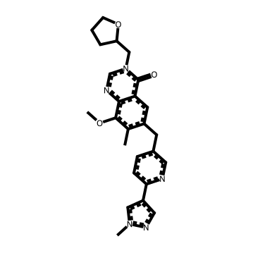 COc1c(C)c(Cc2ccc(-c3cnn(C)c3)nc2)cc2c(=O)n(CC3CCCO3)cnc12